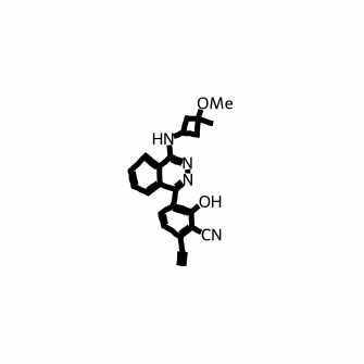 C#Cc1ccc(-c2nnc(NC3CC(C)(OC)C3)c3ccccc23)c(O)c1C#N